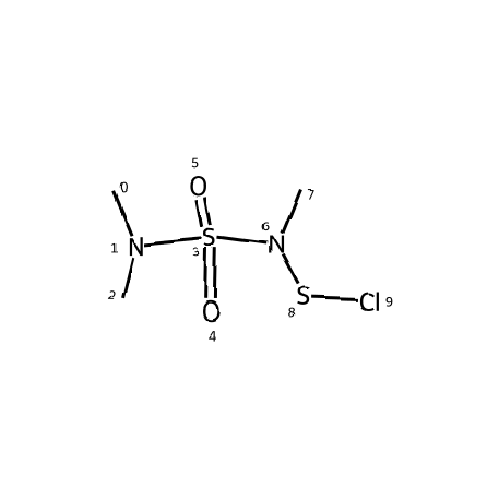 CN(C)S(=O)(=O)N(C)SCl